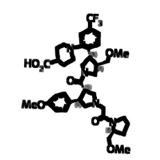 COC[C@H]1CN(C(=O)[C@@H]2CN(CC(=O)N3CCC[C@H]3COC)C[C@H]2c2ccc(OC)cc2)C[C@@H]1c1ccc(C(F)(F)F)cc1N1CCC(C(=O)O)CC1